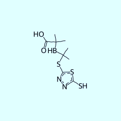 CC(C)(BC(C)(C)C(=O)O)Sc1nnc(S)s1